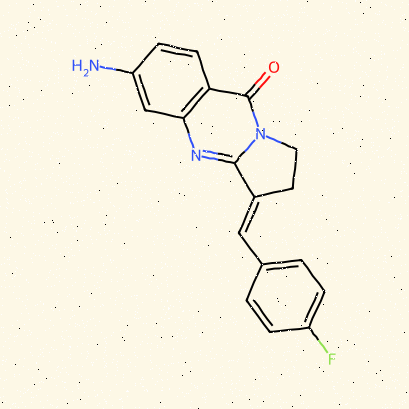 Nc1ccc2c(=O)n3c(nc2c1)C(=Cc1ccc(F)cc1)CC3